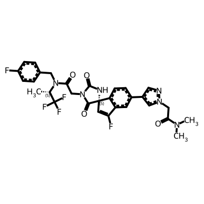 C[C@H](N(Cc1ccc(F)cc1)C(=O)CN1C(=O)N[C@]2(C=C(F)c3cc(-c4cnn(CC(=O)N(C)C)c4)ccc32)C1=O)C(F)(F)F